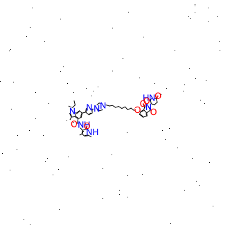 CC[C@H](C)n1cc(C)c2c(C(=O)NCc3c(C)cc(C)[nH]c3=O)cc(-c3ccc(N4CCN(CCCCCCCCCCOc5cccc6c5C(=O)N(C5CCC(=O)NC5=O)C6=O)CC4)nc3)cc21